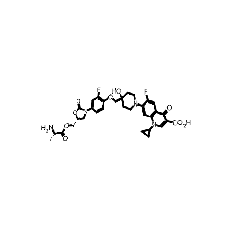 C[C@H](N)C(=O)OC[C@H]1CN(c2ccc(OCC3(O)CCN(c4cc5c(cc4F)c(=O)c(C(=O)O)cn5C4CC4)CC3)c(F)c2)C(=O)O1